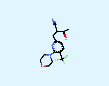 CC(=O)C(C#N)Cc1ccc(C(F)(F)F)c(N2CCOCC2)n1